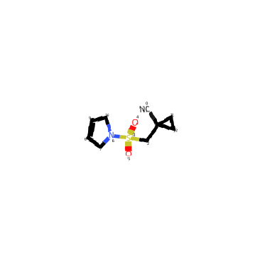 N#CC1(CS(=O)(=O)N2CC=CC2)CC1